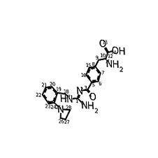 N/C(=N\C(=O)c1ccc(C[C@H](N)C(=O)O)cc1)NCc1ccccc1N1CCC1